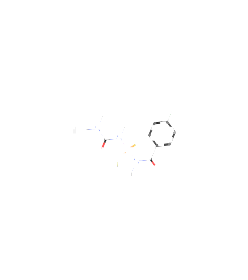 CCCN(C)C(=O)N(C)P(=S)(SC(C)CC)N(C)C(=O)c1ccc(Cl)cc1